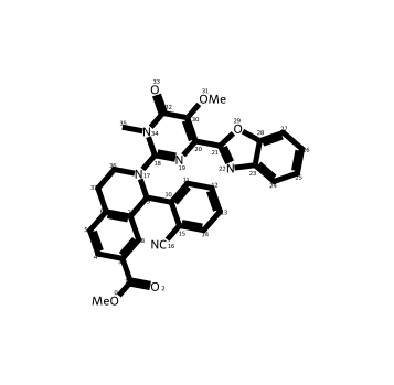 COC(=O)c1ccc2c(c1)C(c1ccccc1C#N)N(c1nc(-c3nc4ccccc4o3)c(OC)c(=O)n1C)CC2